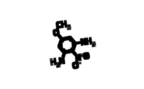 COc1cc(N)c([N+](=O)[O-])c(N)c1